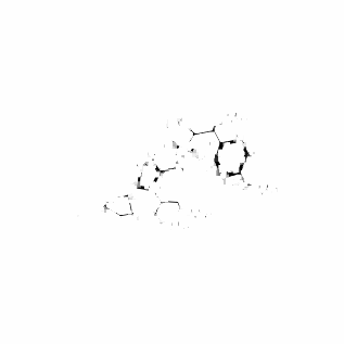 COCC(COC)n1c(NS(=O)(=O)C(C)C(OC)c2cnc(OC)cn2)nnc1[C@@H]1CC[C@H](C)O1